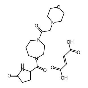 O=C(O)C=CC(=O)O.O=C1CCC(C(=O)N2CCCN(C(=O)CN3CCOCC3)CC2)N1